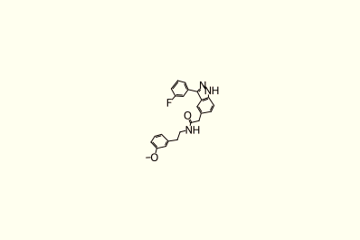 COc1cccc(CCNC(=O)Cc2ccc3[nH]nc(-c4cccc(F)c4)c3c2)c1